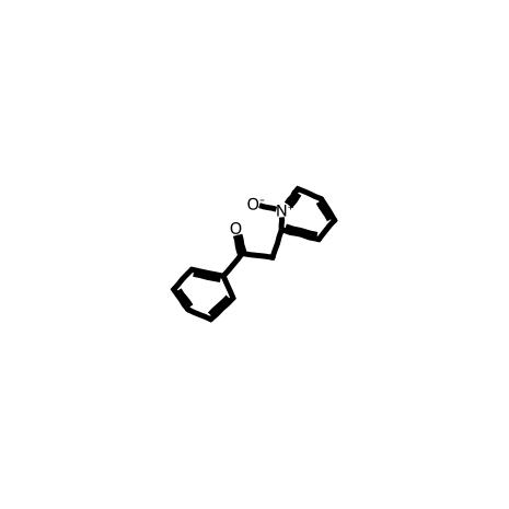 O=C(Cc1cccc[n+]1[O-])c1ccccc1